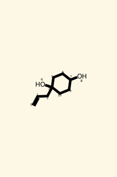 C=CCC1(O)CCC(O)CC1